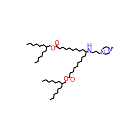 CCCCCCC(CCCCCC)COC(=O)CCCCCCCCC(CCCCCCCCC(=O)OCC(CCCCCC)CCCCCC)NCCCN1CCN(C)CC1